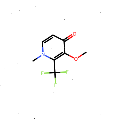 COc1c(C(F)(F)F)n(C)ccc1=O